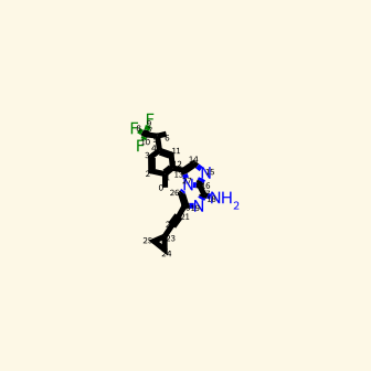 Cc1ccc(C(C)C(F)(F)F)cc1-c1cnc2c(N)nc(C#CC3CC3)cn12